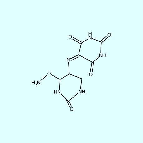 NOC1NC(=O)NCC1N=C1C(=O)NC(=O)NC1=O